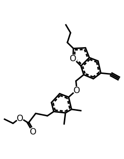 C#Cc1cc(COc2ccc(CCC(=O)OCC)c(C)c2C)c2oc(CCC)cc2c1